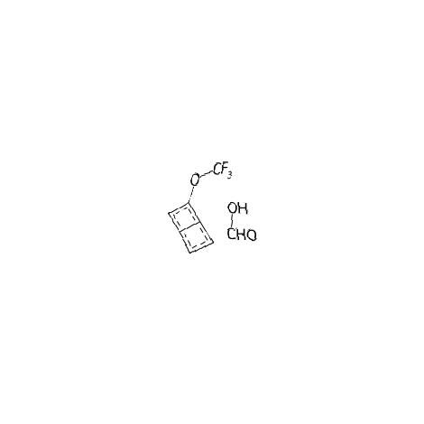 FC(F)(F)Oc1cc2ccc1-2.O=CO